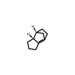 C1CC2=C3CC[C@H](C3)[C@H]2C1